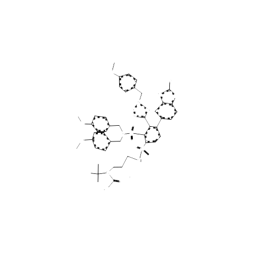 COc1ccc(CN(Cc2ccc(OC)cc2)S(=O)(=O)c2c(S(=O)(=O)NC[C@H](O)CN(C(=O)O)C(C)(C)C)ccc(-c3ccc4sc(Br)nc4c3)c2-c2nnn(Cc3ccc(OC)cc3)n2)cc1